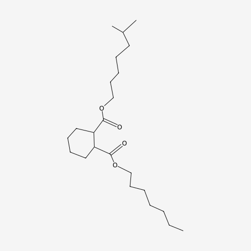 CCCCCCCOC(=O)C1CCCCC1C(=O)OCCCCCC(C)C